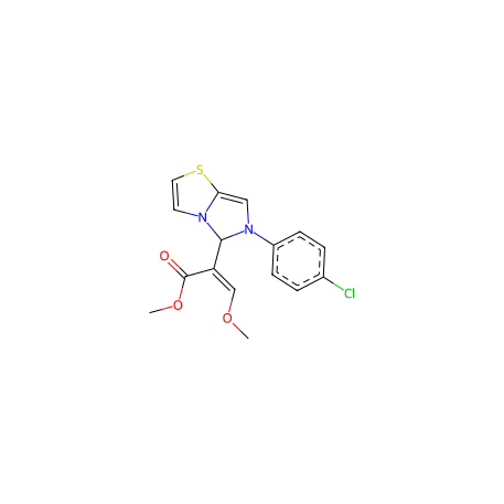 COC=C(C(=O)OC)C1N2C=CSC2=CN1c1ccc(Cl)cc1